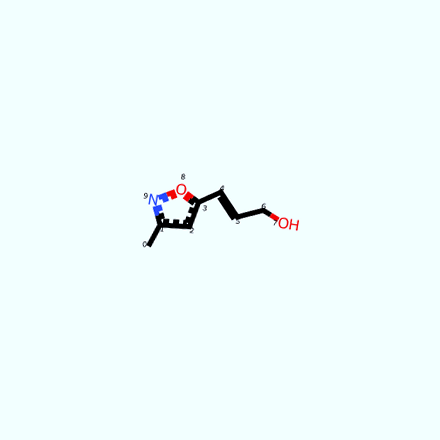 Cc1cc(C=CCO)on1